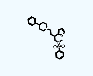 CN(CC(CCN1CCC(c2ccccc2)CC1)c1cccs1)S(=O)(=O)c1ccccc1